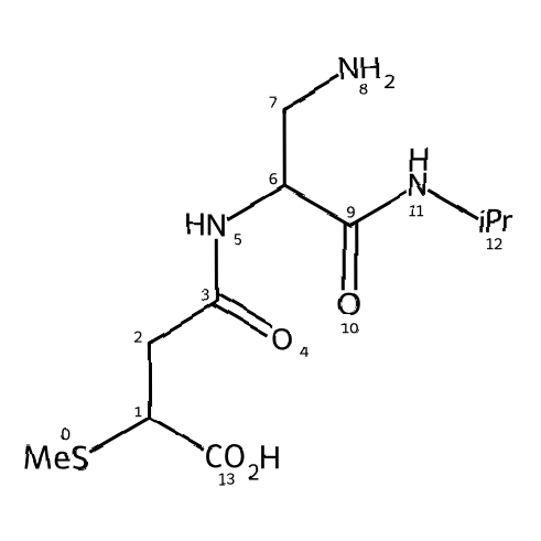 CSC(CC(=O)NC(CN)C(=O)NC(C)C)C(=O)O